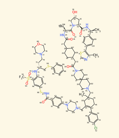 Cc1ncsc1-c1ccc([C@H](C)NC(=O)[C@@H]2C[C@@H](O)CN2C(=O)[C@@H](NC(=O)CC2CCC(CC(=O)N3CCC4(CCN(CC5(C)CCC(c6ccc(Cl)cc6)=C(CN6CCN(c7ccc(C(=O)NSc8ccc(N[C@H](CCN9CCOCC9)CSc9ccccc9)c(S(=O)(=O)C(F)(F)F)c8)cc7)CC6)C5)CC4)CC3)CC2)C(C)(C)C)cc1